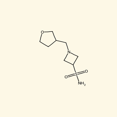 NS(=O)(=O)C1CN(CC2CCOC2)C1